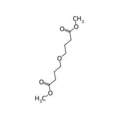 COC(=O)CCCOCCCC(=O)OC